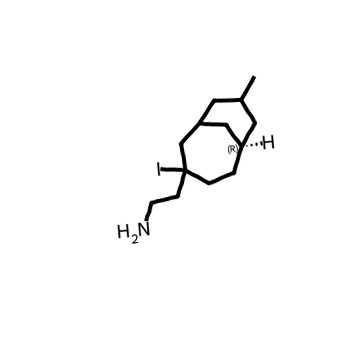 CC1CC2C[C@H](CCC(I)(CCN)C2)C1